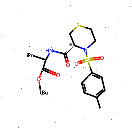 Cc1ccc(S(=O)(=O)N2CCSC[C@H]2C(=O)NC(C(=O)OC(C)(C)C)C(C)C)cc1